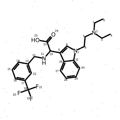 CCN(CC)CCn1cc(C(NCc2cccc(C(F)(F)F)c2)C(=O)O)c2ccccc21